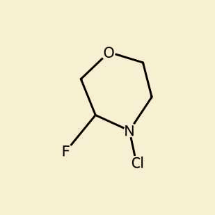 FC1COCCN1Cl